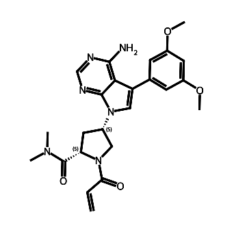 C=CC(=O)N1C[C@@H](n2cc(-c3cc(OC)cc(OC)c3)c3c(N)ncnc32)C[C@H]1C(=O)N(C)C